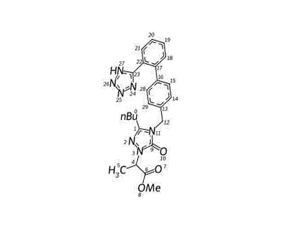 CCCCc1nn(C(C)C(=O)OC)c(=O)n1Cc1ccc(-c2ccccc2-c2nnn[nH]2)cc1